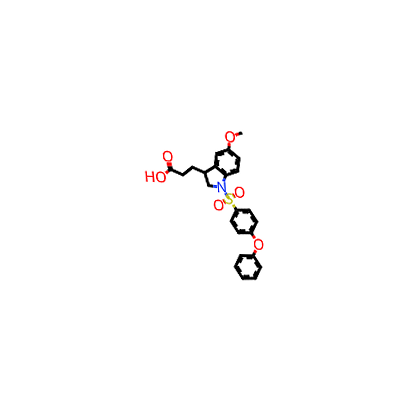 COc1ccc2c(c1)C(CCC(=O)O)CN2S(=O)(=O)c1ccc(Oc2ccccc2)cc1